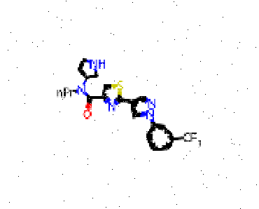 CCCN(C(=O)c1csc(-c2cnn(-c3cccc(C(F)(F)F)c3)c2)n1)[C@H]1CCNC1